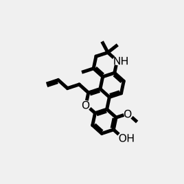 C=CCCC1=c2c(ccc3c2=C(C)CC(C)(C)N3)-c2c(ccc(O)c2OC)O1